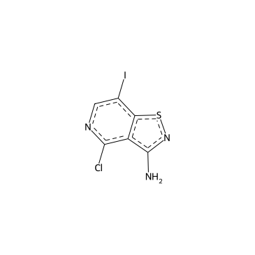 Nc1nsc2c(I)cnc(Cl)c12